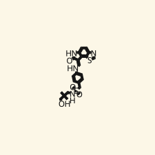 CC(C)(CO)CNS(=O)(=O)Cc1ccc(N/C=C2\C(=O)Nc3ccc4ncsc4c32)cc1